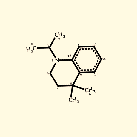 CC(C)N1CCC(C)(C)c2ccccc21